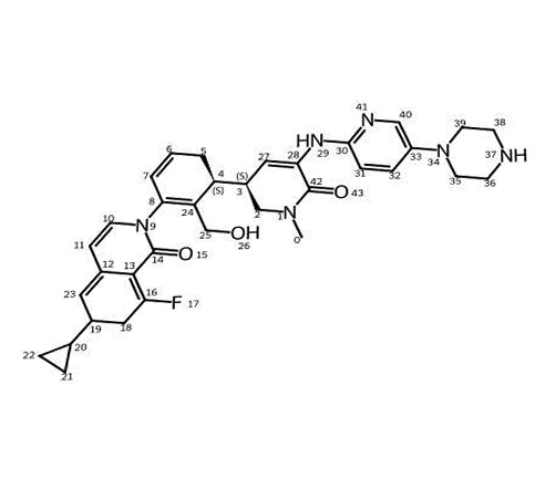 CN1C[C@@H]([C@@H]2CC=CC(n3ccc4c(c3=O)=C(F)CC(C3CC3)C=4)=C2CO)C=C(Nc2ccc(N3CCNCC3)cn2)C1=O